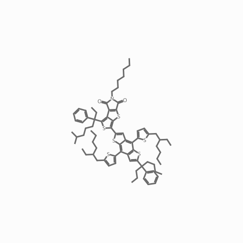 CCCCCCCN1C(=O)c2sc3c(-c4cc5c(-c6ccc(CC(CC)CCCC)s6)c6sc(C(CCC)(CCCC)c7ccccc7)cc6c(-c6ccc(CC(CC)CCCC)s6)c5s4)sc(C(CC)(CCCC(C)C)c4ccccc4)c3c2C1=O